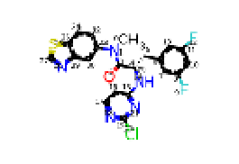 CN(C(=O)[C@H](Cc1cc(F)cc(F)c1)Nc1ccnc(Cl)n1)c1ccc2scnc2c1